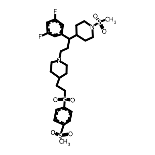 CS(=O)(=O)c1ccc(S(=O)(=O)CCC2CCN(CCC(c3cc(F)cc(F)c3)C3CCN(S(C)(=O)=O)CC3)CC2)cc1